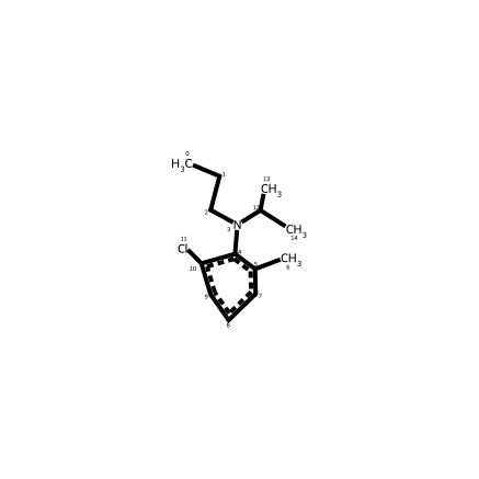 CCCN(c1c(C)cccc1Cl)C(C)C